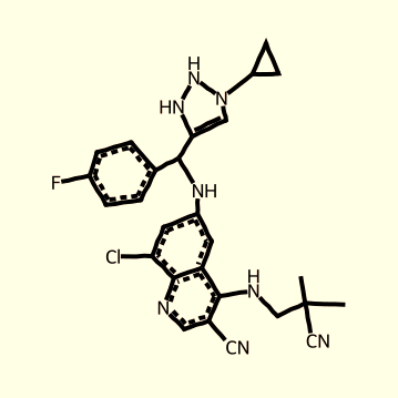 CC(C)(C#N)CNc1c(C#N)cnc2c(Cl)cc(NC(C3=CN(C4CC4)NN3)c3ccc(F)cc3)cc12